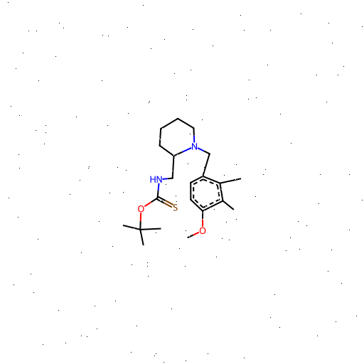 COc1ccc(CN2CCCCC2CNC(=S)OC(C)(C)C)c(C)c1C